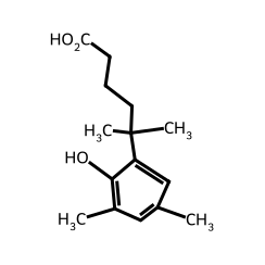 Cc1cc(C)c(O)c(C(C)(C)CCCC(=O)O)c1